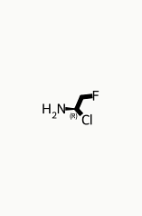 N[C@H](Cl)CF